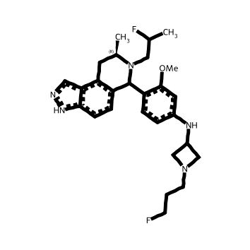 COc1cc(NC2CN(CCCF)C2)ccc1C1c2ccc3[nH]ncc3c2C[C@@H](C)N1CC(C)F